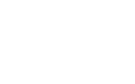 CC(C)(C)c1ccccc1Sc1c(F)c(C#N)c(C#N)c(F)c1Sc1ccccc1C(C)(C)C